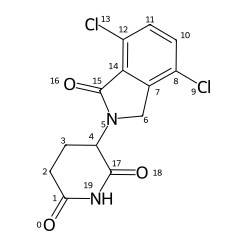 O=C1CCC(N2Cc3c(Cl)ccc(Cl)c3C2=O)C(=O)N1